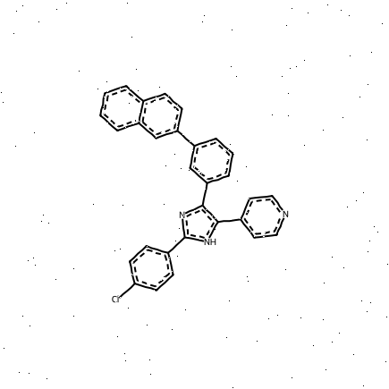 Clc1ccc(-c2nc(-c3cccc(-c4ccc5ccccc5c4)c3)c(-c3ccncc3)[nH]2)cc1